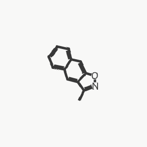 Cc1noc2cc3ccccc3cc12